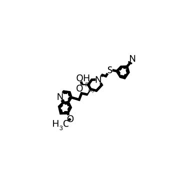 COc1ccc2nccc(CCC[C@@H]3CCN(CCSc4cccc(C#N)c4)C[C@@H]3C(=O)O)c2c1